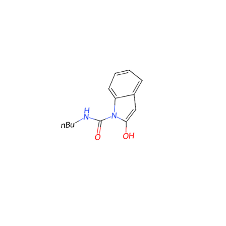 CCCCNC(=O)n1c(O)cc2ccccc21